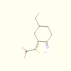 CCC1CCc2noc(C(=O)O)c2C1